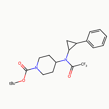 CC(C)(C)OC(=O)N1CCC(N(C(=O)C(F)(F)F)C2CC2c2ccccc2)CC1